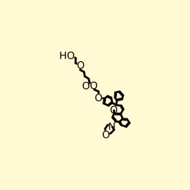 O=C(CCCCOCCO)OCCOc1ccc(C2(c3ccccc3)C=Cc3c(cc(N4CCOCC4)c4ccccc34)O2)cc1